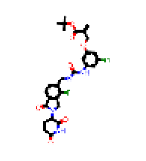 C=C(COc1cc(Cl)cc(NC(=O)NCc2ccc3c(c2F)CN(C2CCC(=O)NC2=O)C3=O)c1)C(=O)OC(C)(C)C